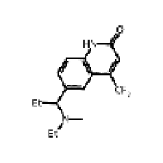 CCC(c1ccc2[nH]c(=O)cc(C(F)(F)F)c2c1)N(C)CC